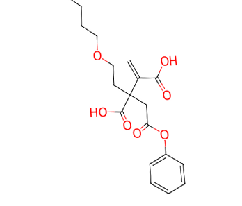 C=C(C(=O)O)C(CCOCCCC)(CC(=O)Oc1ccccc1)C(=O)O